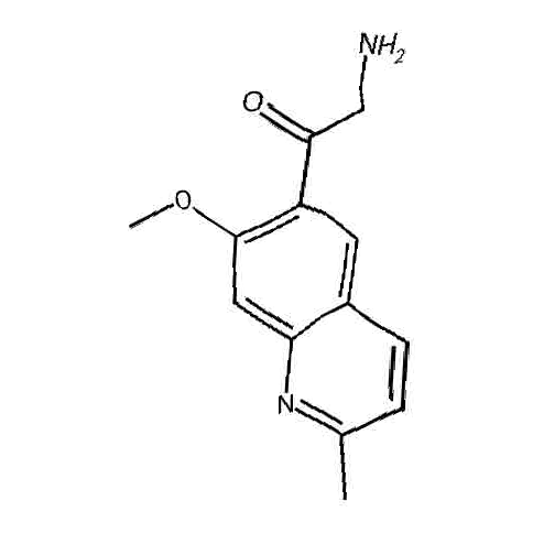 COc1cc2nc(C)ccc2cc1C(=O)CN